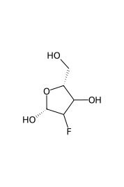 OC[C@H]1O[C@@H](O)C(F)C1O